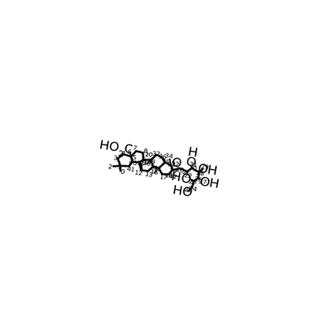 CC1(C)CC[C@]2(C(=O)O)CC[C@]3(C)C(=CCC4[C@@]5(C)CC[C@@H]6[C@@H]([C@H]7OC(CO)[C@@H](O)C(O)C7O)O[C@@]6(C)C5CC[C@]43C)C2C1